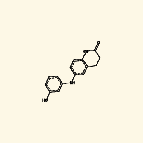 O=C1CCc2cc(Nc3cccc(O)c3)ccc2N1